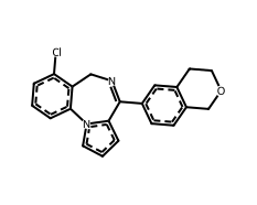 Clc1cccc2c1CN=C(c1ccc3c(c1)CCOC3)c1cccn1-2